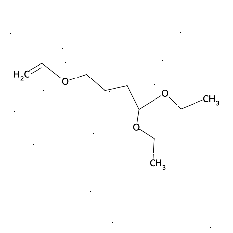 C=COCCCC(OCC)OCC